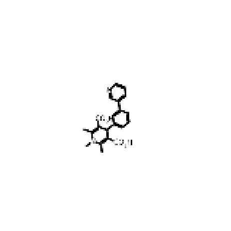 CC1=C(C(=O)O)C(c2cccc(-c3cccnc3)c2)C(C(=O)O)=C(C)N1C